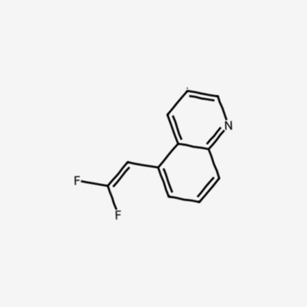 FC(F)=Cc1cccc2nc[c]cc12